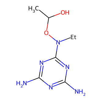 CCN(OC(C)O)c1nc(N)nc(N)n1